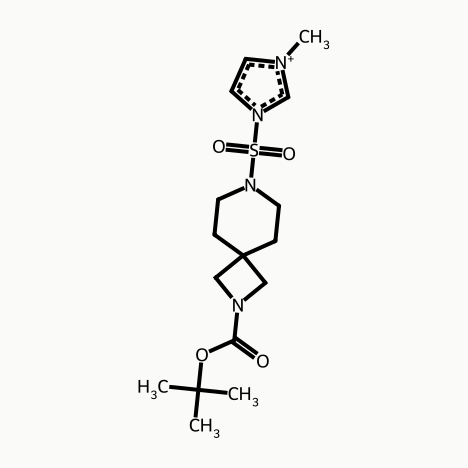 C[n+]1ccn(S(=O)(=O)N2CCC3(CC2)CN(C(=O)OC(C)(C)C)C3)c1